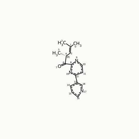 CC(C)=C[C@@H](C)C(=O)c1nccc(-c2cccnc2)n1